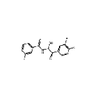 Cc1cccc(C(=O)NC(O)C(=O)c2ccc(Cl)c(F)c2)c1